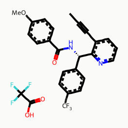 CC#Cc1cccnc1[C@@H](NC(=O)c1ccc(OC)cc1)c1ccc(C(F)(F)F)cc1.O=C(O)C(F)(F)F